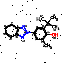 Cc1cc(-n2nc3ccccc3n2)cc(C(C)(C)C)c1O